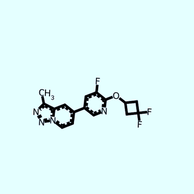 Cc1nnn2ccc(-c3cnc(OC4CC(F)(F)C4)c(F)c3)cc12